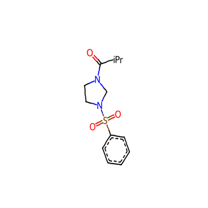 CC(C)C(=O)N1CCN(S(=O)(=O)c2ccccc2)C1